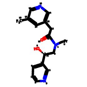 CCCN(C[C@@H](O)c1cccnc1)C(=O)Cc1cncc(C(F)(F)F)c1